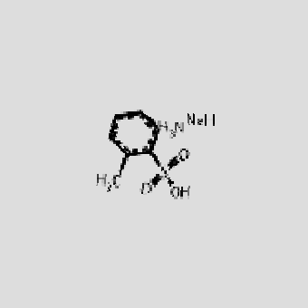 Cc1ccccc1S(=O)(=O)O.N.[NaH]